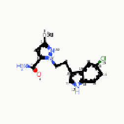 CCCCc1cc(C(N)=O)n(CCc2c[nH]c3ccc(Cl)cc23)n1